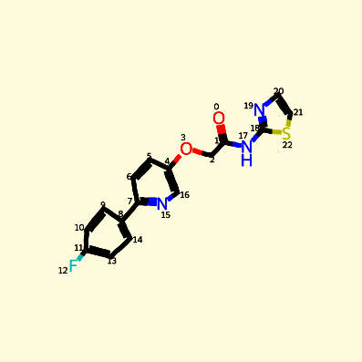 O=C(COc1ccc(-c2ccc(F)cc2)nc1)Nc1nccs1